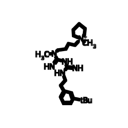 CN(CCCC[N+]1(C)CCCCC1)C(=N)NC(=N)NCCc1cccc(C(C)(C)C)c1